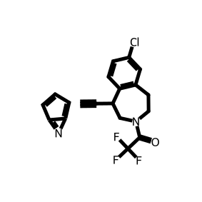 C#CC1CN(C(=O)C(F)(F)F)CCc2cc(Cl)ccc21.c1cc2nc-2c1